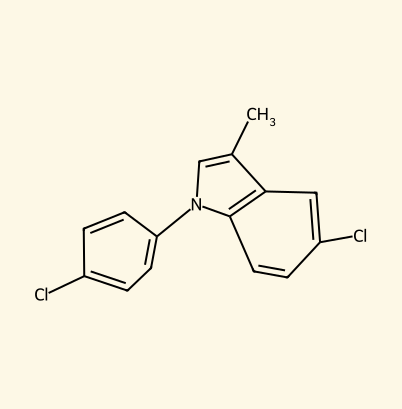 Cc1cn(-c2ccc(Cl)cc2)c2ccc(Cl)cc12